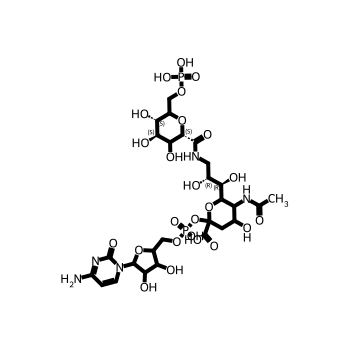 CC(=O)NC1C(O)CC(OP(=O)(O)OCC2OC(n3ccc(N)nc3=O)C(O)C2O)(C(=O)O)OC1[C@H](O)[C@H](O)CNC(=O)[C@H]1OC(COP(=O)(O)O)[C@@H](O)[C@H](O)C1O